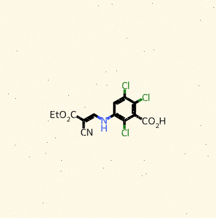 CCOC(=O)C(C#N)=CNc1cc(Cl)c(Cl)c(C(=O)O)c1Cl